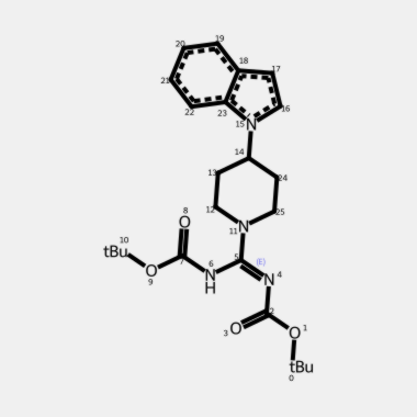 CC(C)(C)OC(=O)/N=C(\NC(=O)OC(C)(C)C)N1CCC(n2ccc3ccccc32)CC1